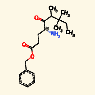 CCC(C)(C)C(C)C(=O)[C@H](N)CCC(=O)OCc1ccccc1